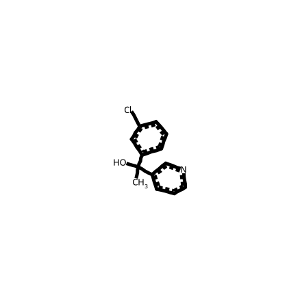 CC(O)(c1cccnc1)c1cccc(Cl)c1